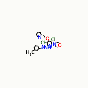 Cc1cccc(/C=N/Nc2nc(N3CCOCC3)c(Cl)c(OCCc3ccccn3)c2Cl)c1